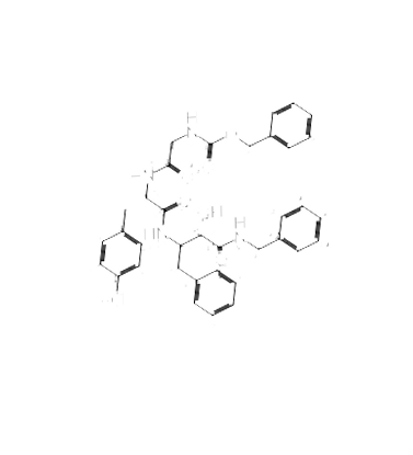 C[C@H](NC(=O)OCc1ccccc1)C(=O)N[C@@H](Cc1ccc(Cl)cc1)C(=O)NC(Cc1ccccc1)[C@H](O)C(=O)NCc1ccccc1